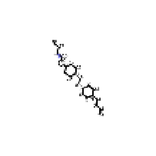 C=CCC[C@H]1CC[C@H](CC[C@H]2CC[C@H](O/C=C/CC)CC2)CC1